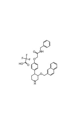 O=C(COc1ccc(C2CCNCC2OCc2ccc3ccccc3c2)cc1)NCc1ccccc1.O=C(O)C(F)(F)F